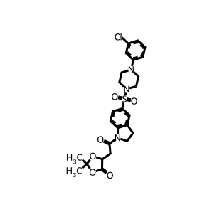 CC1(C)OC(=O)C(CC(=O)N2CCc3cc(S(=O)(=O)N4CCN(c5cccc(Cl)c5)CC4)ccc32)O1